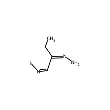 CCC(/C=N\I)=N/N